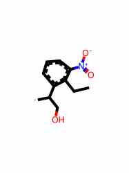 [CH2]C(CO)c1cccc([N+](=O)[O-])c1CC